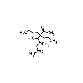 CCCCC(CCC)(C(C)=O)C(C)C(C)CC(C)=O